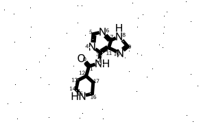 O=C(Nc1ncnc2[nH]cnc12)C1CCNCC1